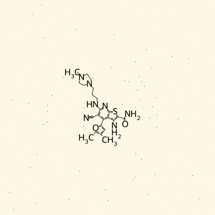 Cc1cc(-c2c(C#N)c(NCCCN3CCN(C)CC3)nc3sc(C(N)=O)c(N)c23)oc1C